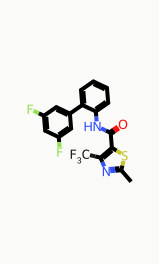 Cc1nc(C(F)(F)F)c(C(=O)Nc2ccccc2-c2cc(F)cc(F)c2)s1